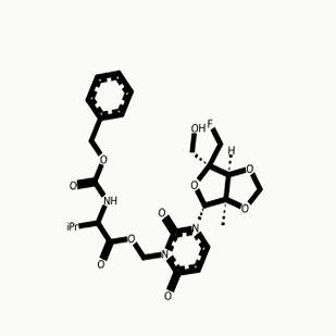 CC(C)C(NC(=O)OCc1ccccc1)C(=O)OCn1c(=O)ccn([C@@H]2O[C@@](CO)(CF)[C@H]3OCO[C@]32C)c1=O